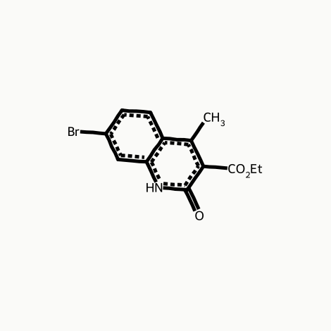 CCOC(=O)c1c(C)c2ccc(Br)cc2[nH]c1=O